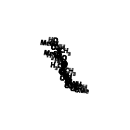 C=N/C(=C\C(OC)=C(/C)CN[C@H](CO)C(=O)OC)C(=O)Nc1cccc(-c2cccc(NC(=O)c3cc(OC)c(CN[C@H](CO)C(=O)OC)cn3)c2C)c1C